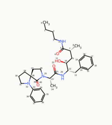 CCCCNC(=O)[C@H](C)C[C@H](O)[C@H](Cc1ccccc1)NC(=O)[C@H](C)N1CC[C@@]2(CCCN2c2ccccc2)C1=O